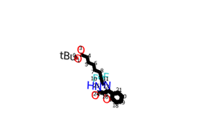 CC(C)(C)OC(=O)CCCCCC(F)(F)c1nc2c(oc3ccccc32)c(=O)[nH]1